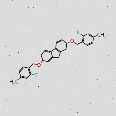 Cc1ccc(COC2C=C3CC4=C(C=C[C@H](OCc5ccc(C)cc5F)C4)C3=CC2)c(F)c1